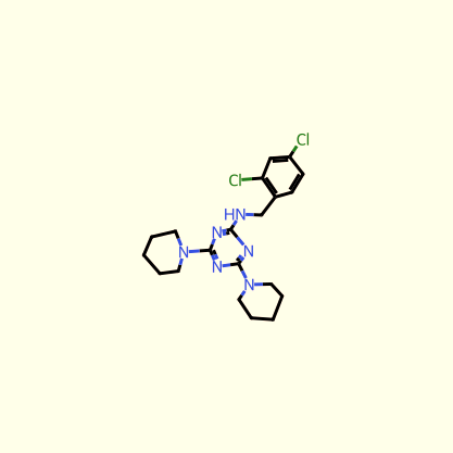 Clc1ccc(CNc2nc(N3CCCCC3)nc(N3CCCCC3)n2)c(Cl)c1